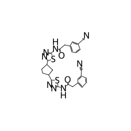 N#Cc1cccc(CC(=O)Nc2nnc(C3CCC(c4nnc(NC(=O)Cc5cccc(C#N)c5)s4)C3)s2)c1